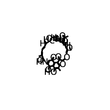 CO[C@H]1/C=C/OC2(C)Oc3c(C)c(O)c4c(c3C2=O)C(=O)C=C(NC(=O)/C(C)=C\C=C\[C@H](C)[C@H](O)C[C@@H](O)[C@@H](C)[C@H](OC(C)=O)[C@@H]1C)C4=O